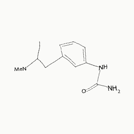 CNC(C)Cc1cccc(NC(N)=O)c1